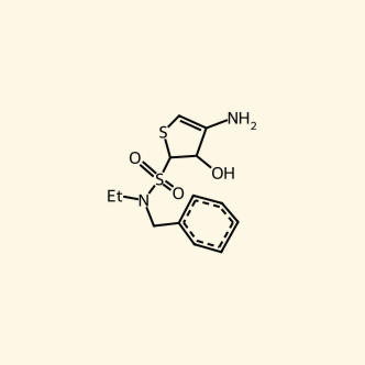 CCN(Cc1ccccc1)S(=O)(=O)C1SC=C(N)C1O